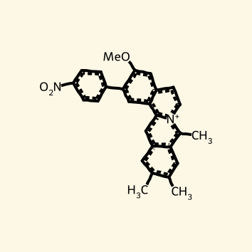 COc1cc2cc[n+]3c(C)c4cc(C)c(C)cc4cc3c2cc1-c1ccc([N+](=O)[O-])cc1